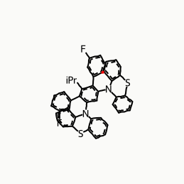 CC(C)c1c(-c2cccc(F)c2)c(N2c3ccccc3Sc3ccccc32)cc(N2c3ccccc3Sc3ccccc32)c1-c1cccc(F)c1